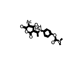 CC(=O)C1=C(O)C(=C(C)Nc2ccc(OC(=O)N(C)C)cc2)C(=O)OC1=O